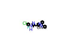 COc1c(Cc2cncc(Nc3ccc(Cl)cc3F)c2C)ccnc1N=C(c1ccccc1)c1ccccc1